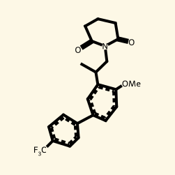 COc1ccc(-c2ccc(C(F)(F)F)cc2)cc1C(C)CN1C(=O)CCCC1=O